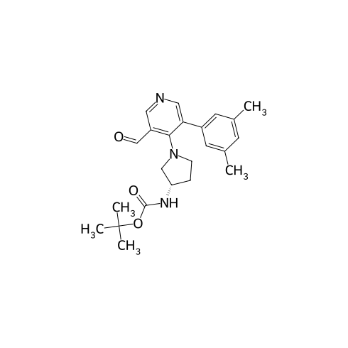 Cc1cc(C)cc(-c2cncc(C=O)c2N2CC[C@H](NC(=O)OC(C)(C)C)C2)c1